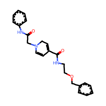 O=C(CN1C=CC(C(=O)NCCOCc2ccccc2)=CC1)Nc1ccccc1